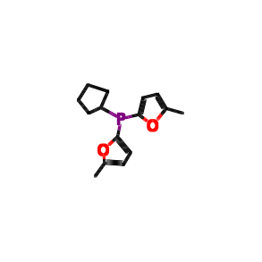 Cc1ccc(P(c2ccc(C)o2)C2CCCC2)o1